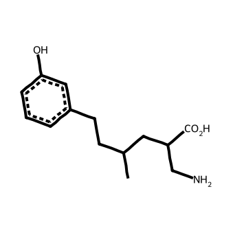 CC(CCc1cccc(O)c1)CC(CN)C(=O)O